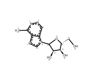 Nc1nncc2c1ncn2C1O[C@H](CO)[C@@H](O)[C@H]1O